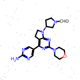 Nc1ncc(-c2nc(N3CCOCC3)nc3c2CCN3[C@H]2CCN(C=O)C2)cn1